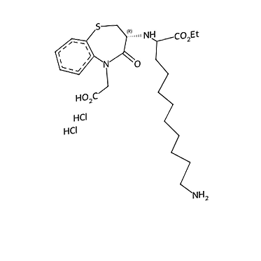 CCOC(=O)C(CCCCCCCCCN)N[C@H]1CSc2ccccc2N(CC(=O)O)C1=O.Cl.Cl